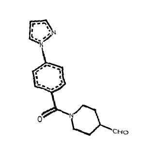 O=CC1CCN(C(=O)c2ccc(-n3cccn3)cc2)CC1